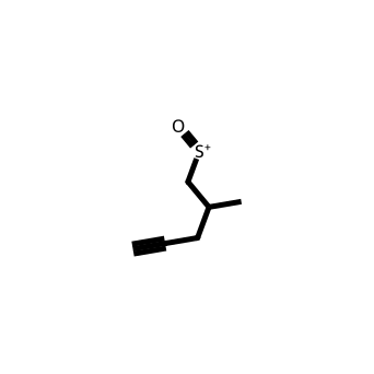 C#CCC(C)C[S+]=O